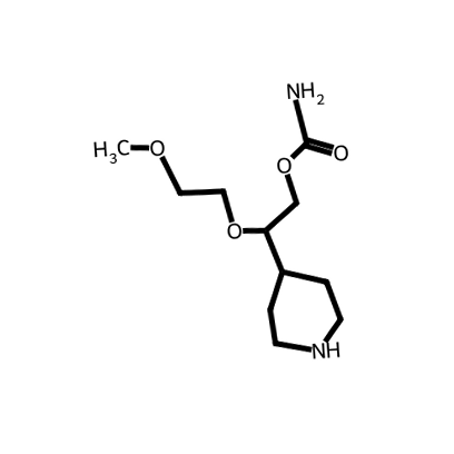 COCCOC(COC(N)=O)C1CCNCC1